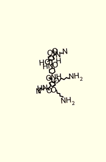 CN(C)CCNC(=O)c1cc(C(=O)N[C@H]2CC[C@H](NC(=O)c3cc(C(=O)NCCN(C)C)c(OCCCCCN)cc3OCCCCCN)CC2)c(O)cc1O